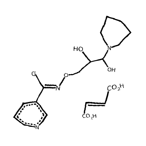 O=C(O)C=CC(=O)O.OC(CON=C(Cl)c1cccnc1)C(O)N1CCCCC1